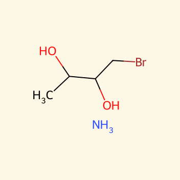 CC(O)C(O)CBr.N